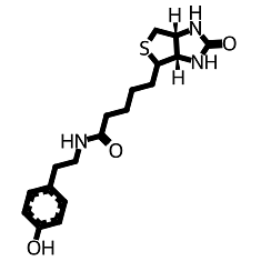 O=C(CCCCC1SC[C@@H]2NC(=O)N[C@H]12)NCCc1ccc(O)cc1